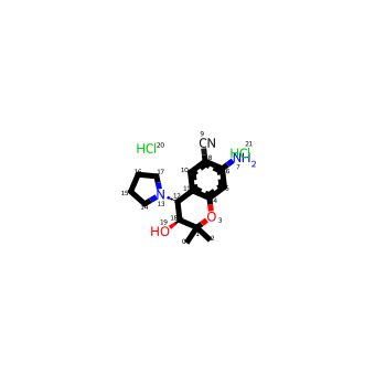 CC1(C)Oc2cc(N)c(C#N)cc2[C@@H](N2CCCC2)[C@@H]1O.Cl.Cl